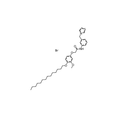 CCCCCCCCCCCCCCOc1ccc(OCC(=O)Nc2cccc(C[n+]3ccsc3)c2)cc1OC.[Br-]